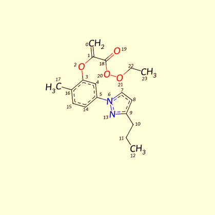 C=C(Oc1cc(-n2ccc(CCC)n2)ccc1C)C(=O)OOCC